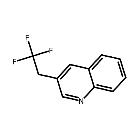 FC(F)(F)Cc1cnc2ccccc2c1